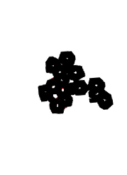 c1ccc(-c2cccc3cccc(-c4ccccc4N(c4ccc(-c5cccc6c5sc5ccccc56)cc4)c4ccc5c(c4)C(c4ccccc4)(c4ccccc4)c4ccccc4-5)c23)cc1